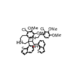 COc1ccc(CCNC(C(O)c2cccc3ccsc23)C2(c3cccc4ccsc34)CNCCc3c2cc(OC)c(OC)c3Cl)c(Cl)c1OC